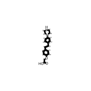 O=C(O)COc1ccc(C=Cc2ccc(N3CCNCC3)cc2)cc1